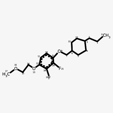 CCCC1CCC(COc2ccc(OCCOC)c(F)c2F)CC1